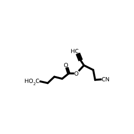 C#CC(CCC#N)OC(=O)CCCC(=O)O